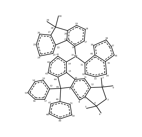 CC1(C)CC(C)(C)c2cc3c(cc21)-c1c(N(c2cccc4c2-c2ccccc2C4(C)C)c2cccc4ccccc24)cccc1C3(c1ccccc1)c1ccccc1